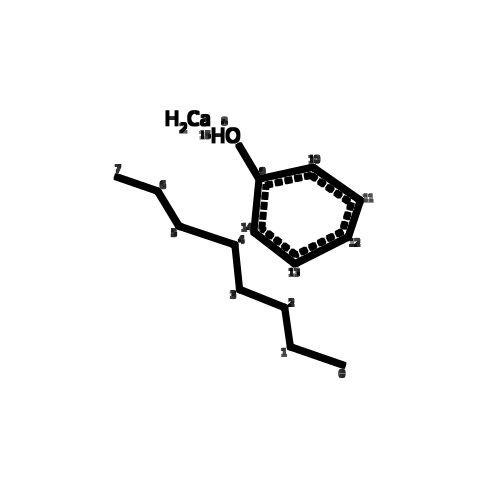 CCCCCCCC.Oc1ccccc1.[CaH2]